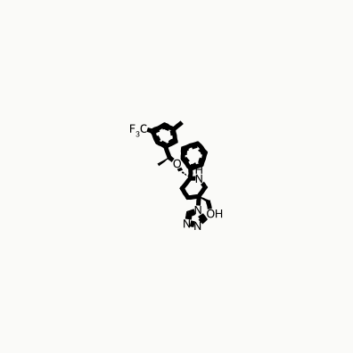 Cc1cc([C@H](C)OC[C@@]2(c3ccccc3)CC[C@@](CO)(n3cnnc3)CN2)cc(C(F)(F)F)c1